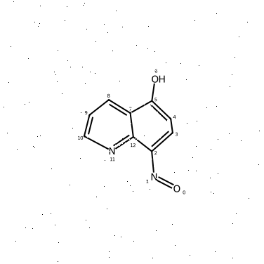 O=Nc1ccc(O)c2cccnc12